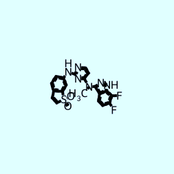 CN(c1ccnc(Nc2ccc3c(c2)S(=O)(=O)C=C3)n1)c1n[nH]c2c(F)c(F)ccc12